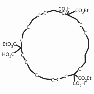 CCOC(=O)C1(C(=O)O)CCCCCCCCC(C(=O)O)(C(=O)OCC)CCCCCCCCC(C(=O)O)(C(=O)OCC)CCCCCCCC1